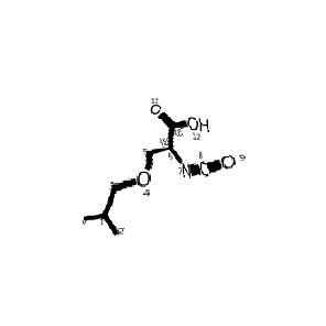 CC(C)COC[C@H](N=C=O)C(=O)O